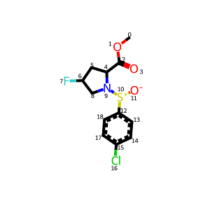 COC(=O)C1CC(F)CN1[S+]([O-])c1ccc(Cl)cc1